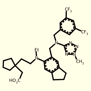 CCN(CCC1(CC(=O)O)CCCC1)c1cc2c(cc1CN(Cc1cc(C(F)(F)F)cc(C(F)(F)F)c1)c1nnn(C)n1)CCC2